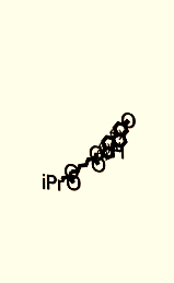 CC(C)CC(=O)OCCCCC(=O)O[C@H]1CCC2[C@@H]3CCC4=CC(=O)CC[C@]4(C)C3CC[C@@]21C